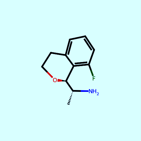 C[C@@H](N)[C@H]1OCCc2cccc(F)c21